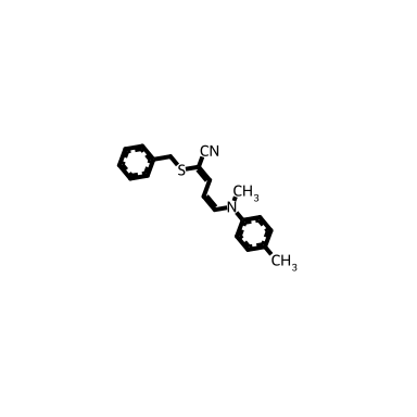 Cc1ccc(N(C)/C=C\C=C(\C#N)SCc2ccccc2)cc1